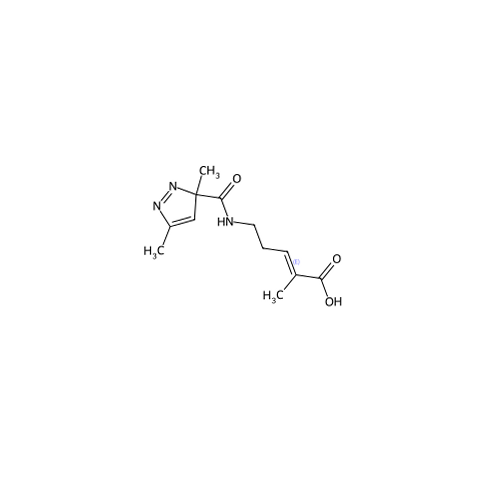 CC1=CC(C)(C(=O)NCC/C=C(\C)C(=O)O)N=N1